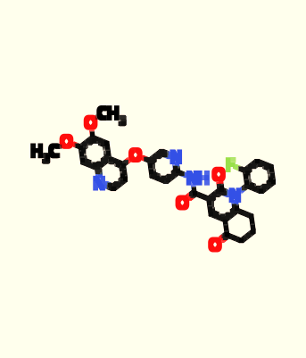 COc1cc2nccc(Oc3ccc(NC(=O)c4cc5c(n(-c6ccccc6F)c4=O)CCCC5=O)nc3)c2cc1OC